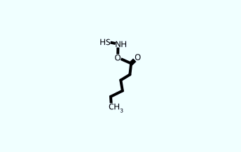 CCCCCC(=O)ONS